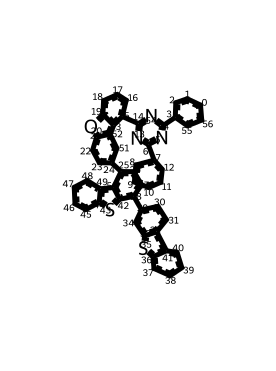 c1ccc(-c2nc(-c3ccccc3)nc(-c3cccc4oc5ccc(-c6ccc(-c7ccc8c(c7)sc7ccccc78)c7sc8ccccc8c67)cc5c34)n2)cc1